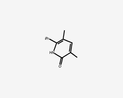 Cc1cc(C)c(=O)[nH]c1C(C)C